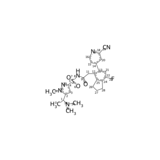 CC(c1cc(S(=O)(=O)NC(=O)Cc2c(-c3ccnc(C#N)c3)cc(F)c3c2CCC3)nn1C)N(C)C